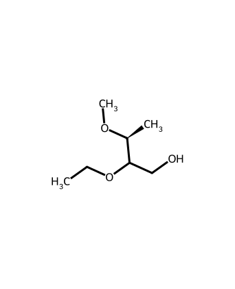 CCOC(CO)[C@H](C)OC